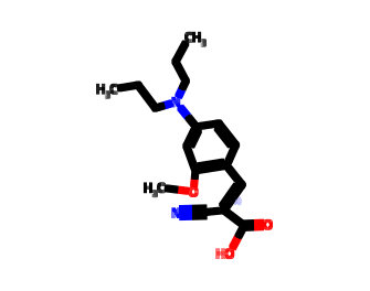 CCCN(CCC)c1ccc(/C=C(\C#N)C(=O)O)c(OC)c1